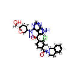 O=C(c1ccc(C(=O)N2CCc3ccccc3C2)cc1Cl)c1c[nH]c2ncnc(N[C@@H]3CC[C@@H](CO)OC3)c12